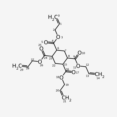 C=CCOC(=O)C1CC(C(=O)OCC=C)C(C(=O)OCC=C)CC1C(=O)OCC=C